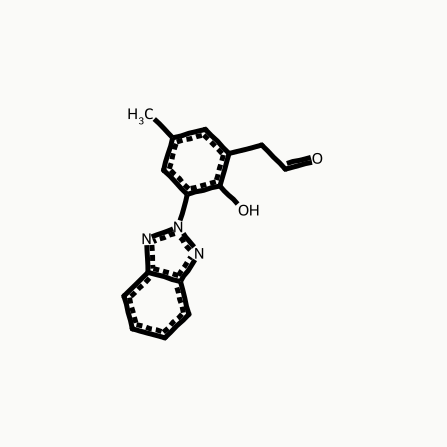 Cc1cc(CC=O)c(O)c(-n2nc3ccccc3n2)c1